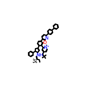 CC/C(=C\NC1C=C(c2ccc3c(oc4nc(-c5ccc(-c6ccccc6)cc5)ccc43)c2-c2cc(CC(C)(C)C)cc[n+]2C)CC1c1ccccc1)[Si](C)(C)C